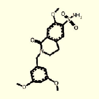 COc1cc(CN2CCc3cc(S(N)(=O)=O)c(OC)cc3C2=O)cc(OC)c1